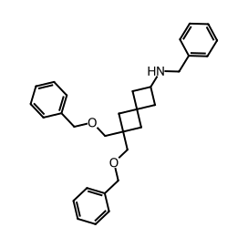 c1ccc(CNC2CC3(C2)CC(COCc2ccccc2)(COCc2ccccc2)C3)cc1